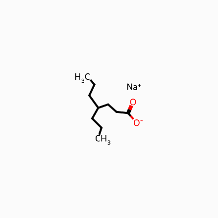 CCCC(CCC)CCC(=O)[O-].[Na+]